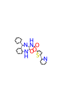 O=C(N[C@H]1N=C(c2ccccc2)c2ccccc2NC1=O)Oc1ccc(-c2ccccn2)s1